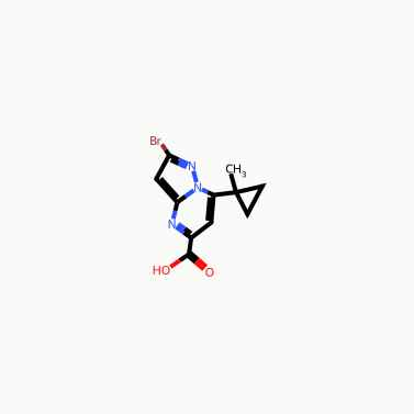 CC1(c2cc(C(=O)O)nc3cc(Br)nn23)CC1